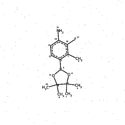 Cc1c(B2OC(C)(C)C(C)(C)O2)ccc(N)c1F